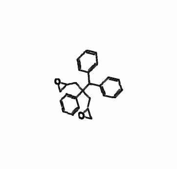 c1ccc(C(c2ccccc2)C(CC2CO2)(CC2CO2)c2ccccc2)cc1